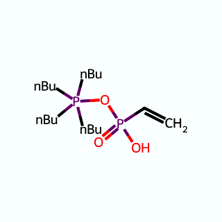 C=CP(=O)(O)OP(CCCC)(CCCC)(CCCC)CCCC